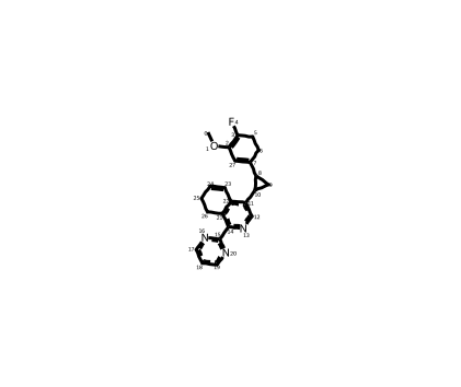 COC1=C(F)CCC(C2CC2c2cnc(-c3ncccn3)c3c2C=CCC3)=C1